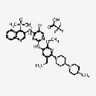 CCc1cc(Nc2ncc(Br)c(Nc3cnc4ccccc4c3P(C)(C)=O)n2)c(OC)nc1N1CCC(N2CCN(C)CC2)CC1.O=C(O)C(F)(F)F